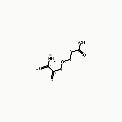 C=C(COCCC(=O)O)C(N)=O